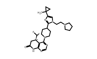 CC1(c2cn(CCN3CCCC3)c(C3CCN(c4ncnc5c4[C@H](C(F)F)CC(=O)N5)CC3)n2)CC1